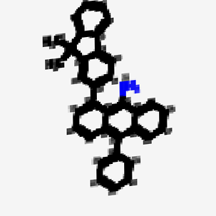 CC1(C)c2ccccc2-c2ccc(-c3cccc4c(-c5ccccc5)c5ccccc5c(N)c34)cc21